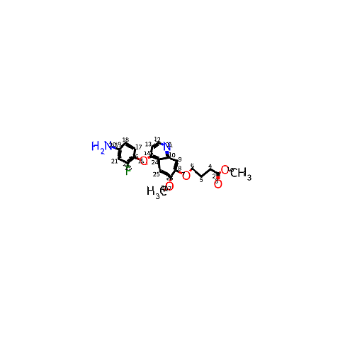 COC(=O)CCCOc1cc2nccc(Oc3ccc(N)cc3F)c2cc1OC